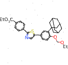 CCOCOc1ccc(-c2cnc(-c3ccc(C(=O)OCC)cc3)s2)cc1C12CC3CC(CC(C3)C1)C2